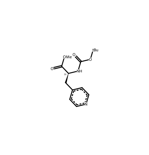 COC(=O)[C@H](Cc1ccncc1)NC(=O)OC(C)(C)C